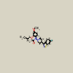 CCCOc1cc(OC)ccc1N(C(C)=O)N1CCC(c2nsc3cc(F)ccc23)CC1